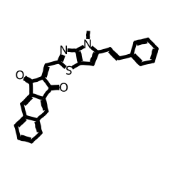 Cn1c(/C=C/c2ccccc2)cc2sc(C=C3C(=O)c4cc5ccccc5cc4C3=O)nc21